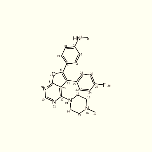 CNc1ccc(-c2oc3ncnc(N4CCN(C)CC4)c3c2-c2ccc(F)cc2)cc1